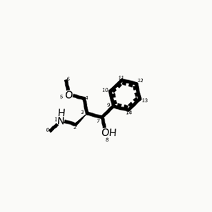 CNC[C@@H](COC)C(O)c1ccccc1